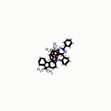 CC1(C)c2ccccc2-c2c1ccc1c2c2ccccc2n1-c1ccccc1-c1nc(-c2ccccc2)nc2c1-c1ccccc1[Si]2(C)C